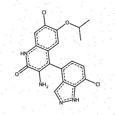 CC(C)Oc1cc2c(-c3ccc(Cl)c4[nH]ncc34)c(N)c(=O)[nH]c2cc1Cl